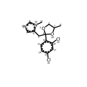 CC1COC(Cc2cncn2C)(c2ccc(Cl)cc2Cl)O1